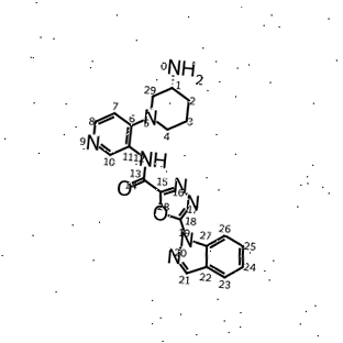 N[C@@H]1CCCN(c2ccncc2NC(=O)c2nnc(-n3ncc4ccccc43)o2)C1